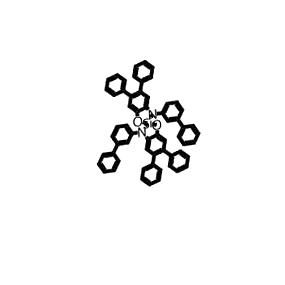 c1ccc(-c2cccc(N3c4cc(-c5ccccc5)c(-c5ccccc5)cc4O[Si]34Oc3cc(-c5ccccc5)c(-c5ccccc5)cc3N4c3cccc(-c4ccccc4)c3)c2)cc1